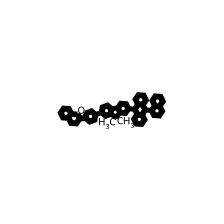 CC1(C)c2cc(-c3ccc4c(c3)oc3c5ccccc5ccc43)ccc2-c2ccc(-c3c4ccccc4c(-c4cccc5ccccc45)c4ccccc34)cc21